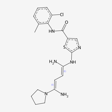 Cc1cccc(Cl)c1NC(=O)c1cnc(N/C(N)=C/C=C(\N)N2CCCC2)s1